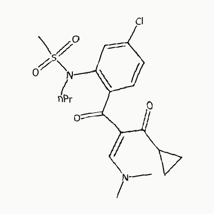 CCCN(c1cc(Cl)ccc1C(=O)C(=CN(C)C)C(=O)C1CC1)S(C)(=O)=O